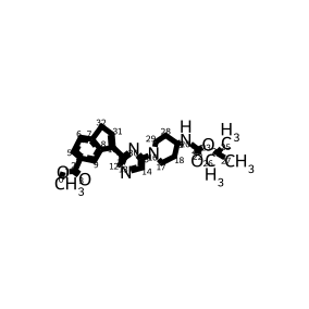 COC(=O)c1ccc2c(c1)C(c1cncc(N3CCC(NC(=O)OC(C)(C)C)CC3)n1)=CC2